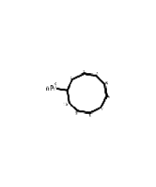 CCCC1CCCCCCCCC1